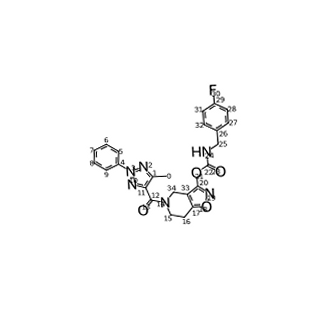 Cc1nn(-c2ccccc2)nc1C(=O)N1CCc2onc(OC(=O)NCc3ccc(F)cc3)c2C1